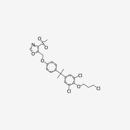 CC(C)(c1ccc(OCc2ocnc2S(C)(=O)=O)cc1)c1cc(Cl)c(OCCCCl)c(Cl)c1